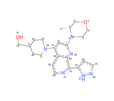 C[C@@H]1COCCN1c1cc(N2CCC(CO)CC2)c2ccnc(-c3ccn[nH]3)c2n1